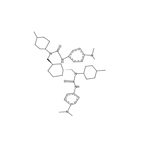 CC1CCC(N(C[C@@H]2CCC[C@@H](CN(C(=O)Nc3ccc(N(C)C)cc3)C3CCC(C)CC3)C2)C(=O)Nc2ccc(N(C)C)cc2)CC1